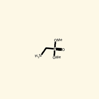 COP(=O)(C[SiH3])OC